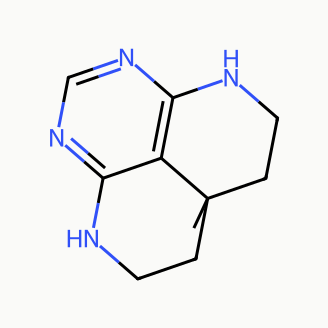 CC12CCNc3ncnc(c31)NCC2